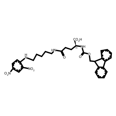 O=C(CC[C@H](NC(=O)OCC1c2ccccc2-c2ccccc21)C(=O)O)NCCCCCNc1ccc([N+](=O)[O-])cc1[N+](=O)[O-]